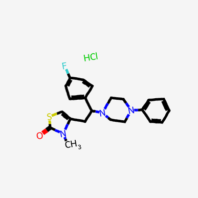 Cl.Cn1c(CC(c2ccc(F)cc2)N2CCN(c3ccccc3)CC2)csc1=O